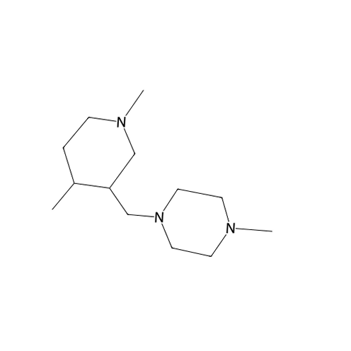 CC1CCN(C)CC1CN1CCN(C)CC1